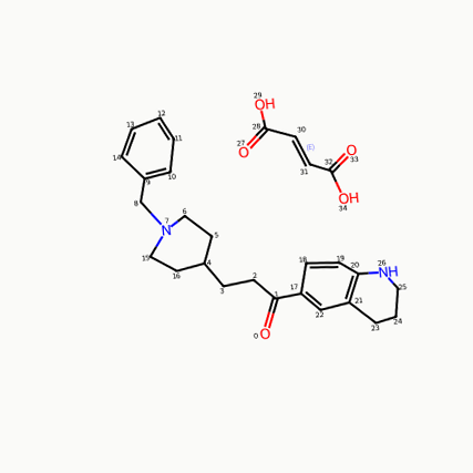 O=C(CCC1CCN(Cc2ccccc2)CC1)c1ccc2c(c1)CCCN2.O=C(O)/C=C/C(=O)O